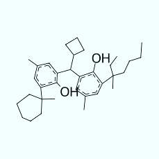 CCCCC(C)(CC)c1cc(C)cc(C(c2cc(C)cc(C3(C)CCCCC3)c2O)C2CCC2)c1O